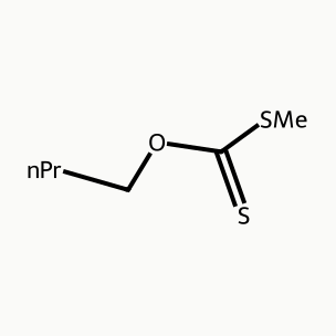 [CH2]SC(=S)OCCCC